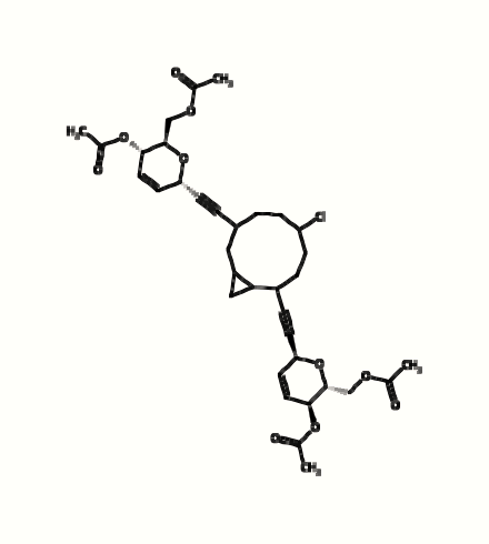 CC(=O)OC[C@H]1O[C@H](C#CC2CCC(Cl)CCC(C#C[C@@H]3C=C[C@H](OC(C)=O)[C@@H](COC(C)=O)O3)C3CC3C2)C=C[C@@H]1OC(C)=O